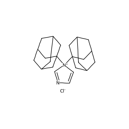 C1=C[N+](C23CC4CC(CC(C4)C2)C3)(C23CC4CC(CC(C4)C2)C3)C=N1.[Cl-]